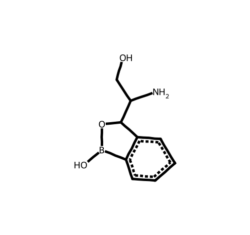 NC(CO)C1OB(O)c2ccccc21